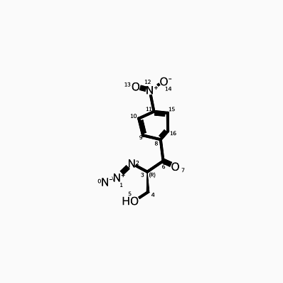 [N-]=[N+]=N[C@H](CO)C(=O)c1ccc([N+](=O)[O-])cc1